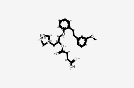 COc1cccc(CCc2ccccc2OCC(CN2CNOC2)OC(=O)CCC(=O)O)c1